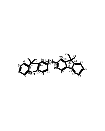 CC1(C)c2ccccc2Sc2ccc(Nc3ccc4c(c3)C(C)(C)c3ccccc3-4)cc21